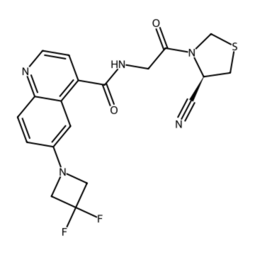 N#C[C@@H]1CSCN1C(=O)CNC(=O)c1ccnc2ccc(N3CC(F)(F)C3)cc12